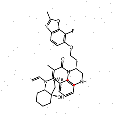 C=CN(/C(=C(\C)C(=O)N1CCNC[C@H]1CCOc1ccc2nc(C)oc2c1F)c1ccccc1)[C@@H]1CCCC[C@@]1(O)COC